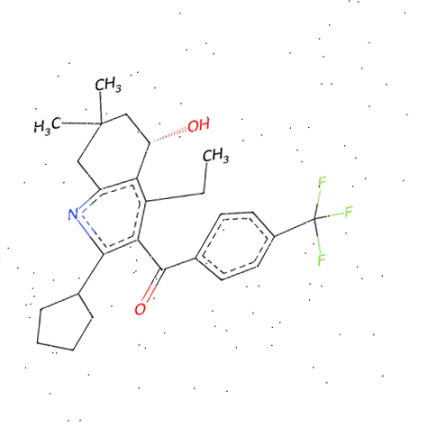 CCc1c(C(=O)c2ccc(C(F)(F)F)cc2)c(C2CCCC2)nc2c1[C@@H](O)CC(C)(C)C2